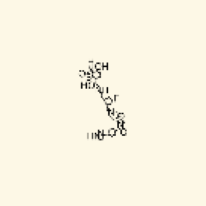 O=C(c1ccc(-c2cc[nH]n2)cc1)N1CCOC2(CCN(Cc3cc(F)cc(CCNCC(O)c4ccc(O)c5[nH]c(=O)sc45)c3)CC2)C1